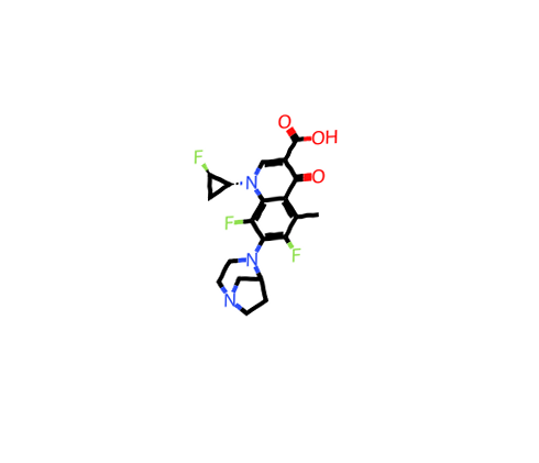 Cc1c(F)c(N2CCN3CCC2C3)c(F)c2c1c(=O)c(C(=O)O)cn2[C@@H]1C[C@H]1F